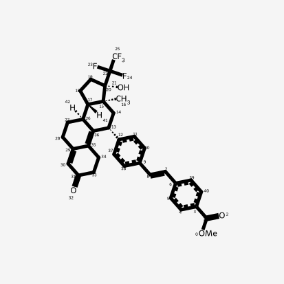 COC(=O)c1ccc(/C=C/c2ccc([C@H]3C[C@@]4(C)[C@@H](CC[C@@]4(O)C(F)(F)C(F)(F)F)[C@@H]4CCC5=CC(=O)CCC5=C43)cc2)cc1